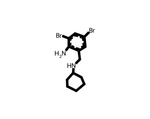 Nc1c(Br)cc(Br)cc1CNC1CCCCC1